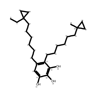 CCC1(CCCCCCc2cc(O)c(O)c(O)c2CCCCCCC2(C)CC2)CC1